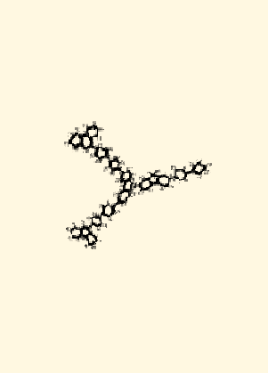 CC1(C)c2cc(-c3ccc(-c4ccccc4)cc3)ccc2-c2ccc(-n3c4ccc(-c5ccc(-c6ccc(-c7cc8ccccc8c8ccccc78)cc6)cc5)cc4c4cc(-c5ccc(-c6ccc(-c7cc8ccccc8c8ccccc78)cc6)cc5)ccc43)cc21